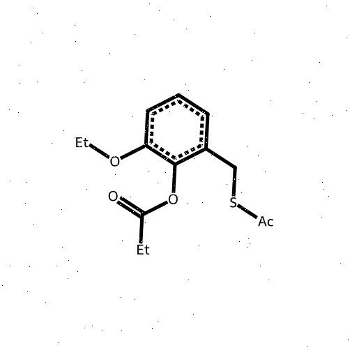 CCOc1cccc(CSC(C)=O)c1OC(=O)CC